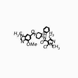 COc1cc(C(=O)N2CC[C@@H](NC(=O)c3c(C)nn(C)c3Cl)[C@@H](c3ccccc3)C2)cc2c1ncn2C